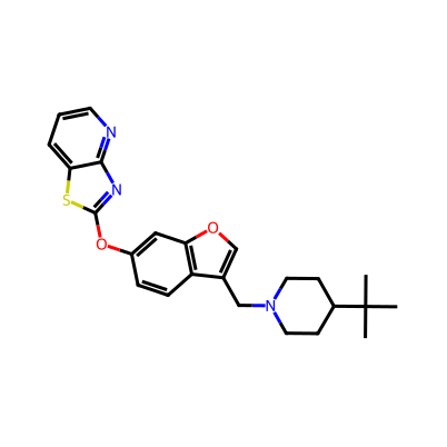 CC(C)(C)C1CCN(Cc2coc3cc(Oc4nc5ncccc5s4)ccc23)CC1